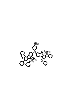 CC(C)(C)c1ccc(N(c2ccc3c(c2)C(C)(C)c2cc(-c4ccccc4-c4ccccc4)c4oc5ccccc5c4c2-3)c2ccc3c(c2)C(C)(C)c2c4c(c5c(oc6ccccc65)c2-3)-c2ccccc2C4(C)C)cc1